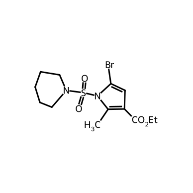 CCOC(=O)c1cc(Br)n(S(=O)(=O)N2CCCCC2)c1C